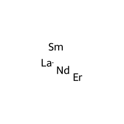 [Er].[La].[Nd].[Sm]